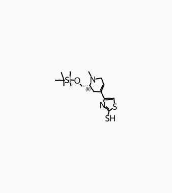 CN1CC=C(c2csc(S)n2)C[C@@H]1CO[Si](C)(C)C(C)(C)C